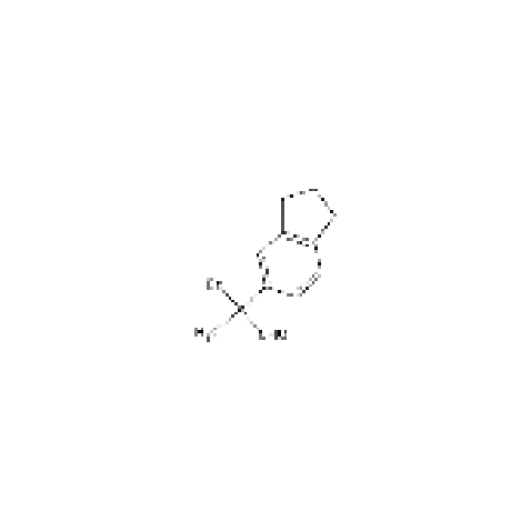 CCC(C)(C=O)c1ccc2c(c1)CCC2